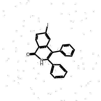 O=c1[nH]c(-c2ccccc2)c(-c2ccccc2)c2cc(I)ccc12